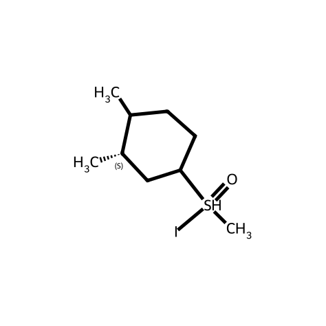 CC1CCC([SH](C)(=O)I)C[C@@H]1C